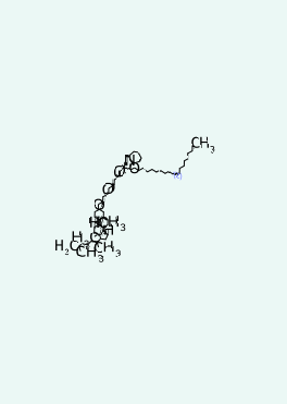 CCCCCCCC/C=C\CCCCCCCCOCC(CN1CCCCCC1)OCCCOCCCOC1CC[C@@]2(C)C(=CCC3[C@@H]4CCC(C(C)CCCC(C)C)C4(C)CC[C@@H]32)C1